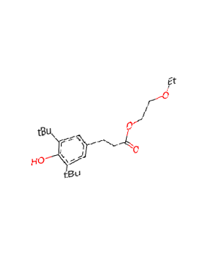 CCOCCOC(=O)CCc1cc(C(C)(C)C)c(O)c(C(C)(C)C)c1